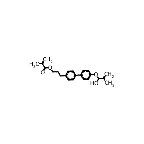 C=C(C)C(=O)OCCCc1ccc(-c2ccc(OC(O)C(=C)C)cc2)cc1